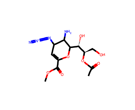 COC(=O)C1=CC(N=[N+]=[N-])C(N)C([C@H](O)[C@@H](CO)OC(C)=O)O1